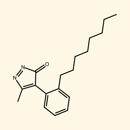 CCCCCCCCc1ccccc1C1=C(C)N=NC1=O